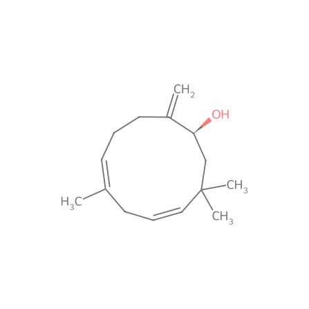 C=C1CC/C=C(/C)C/C=C\C(C)(C)C[C@@H]1O